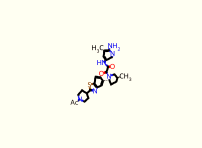 CC(=O)N1CCC(c2nc3cc([C@H]4CC[C@H](C)CN4C(=O)C(=O)Nc4cnc(N)c(C)c4)ccc3s2)CC1